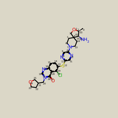 C[C@@H]1OCC2(CCN(c3cnc(Sc4ccc5ncn(CC6CCOC6)c(=O)c5c4Cl)cn3)CC2)[C@@H]1N